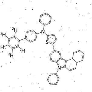 [2H]c1c([2H])c([2H])c(-c2ccc(N(c3ccccc3)c3ccc(-c4ccc5c(c4)c4c(n5-c5ccccc5)C=CC5C=CC=CC45)s3)cc2)c([2H])c1[2H]